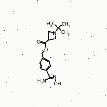 CC(C)(C)N1CC(C(=O)OCc2ccc(/C(N)=N/O)cc2)C1